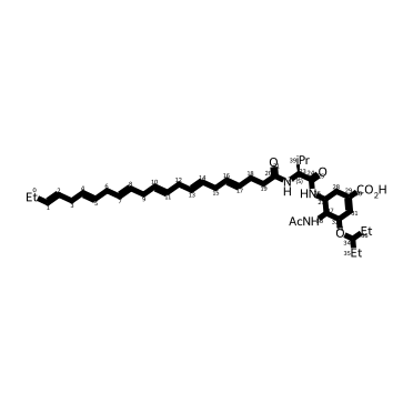 CCC=CCC=CCC=CCC=CCC=CCC=CCCC(=O)N[C@H](C(=O)NC1CC(C(=O)O)=CC(OC(CC)CC)C1NC(C)=O)C(C)C